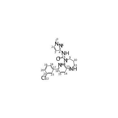 Cn1ccc(NC(=O)N2CCCNc3ccc(-c4cccc(Cl)c4)nc32)n1